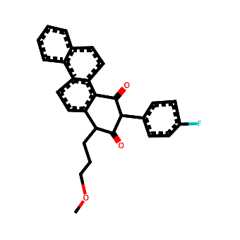 COCCCC1C(=O)C(c2ccc(F)cc2)C(=O)c2c1ccc1c2ccc2ccccc21